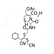 CC(=O)OCC1=C(C(=O)O)N2C(=O)[C@@H](NC(=O)CSC(SCC#N)=C(C#N)c3ccccc3)[C@H]2SC1